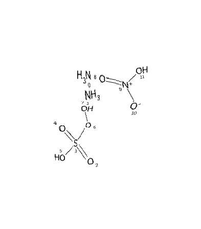 N.N.O=S(=O)(O)OO.O=[N+]([O-])O